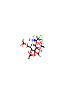 CC(=O)OCC1O[C@H](OC(=N)C(Cl)(Cl)Cl)[C@@H](OC(C)=O)[C@@H](OC(C)=O)[C@@H]1OC(C)=O